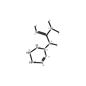 CN=C(N(C)C)N(C)n1pn[pH][nH][pH]1